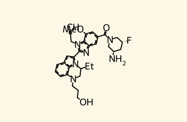 C#CCn1c(-c2cc3cccc4c3n2C(CC)CN4CCCO)nc2cc(C(=O)N3C[C@H](N)C[C@@H](F)C3)cc(OC)c21